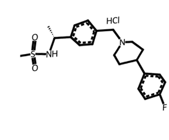 C[C@@H](NS(C)(=O)=O)c1ccc(CN2CCC(c3ccc(F)cc3)CC2)cc1.Cl